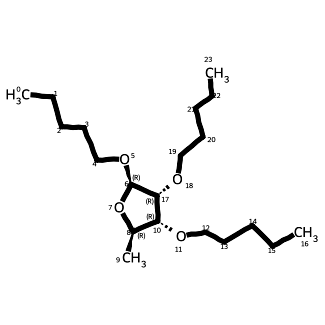 CCCCCO[C@@H]1O[C@H](C)[C@@H](OCCCCC)[C@H]1OCCCCC